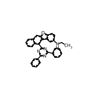 CCNc1ccc2oc3cc4ccccc4c(-c4nc(-c5ccccc5)nc(-c5ccccc5)n4)c3c2c1